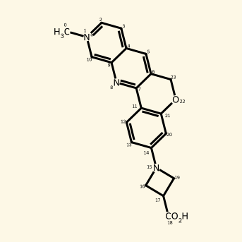 C[n+]1ccc2cc3c(nc2c1)-c1ccc(N2CC(C(=O)O)C2)cc1OC3